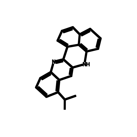 CC(C)c1cccc2nc3c(cc12)Nc1cccc2cccc-3c12